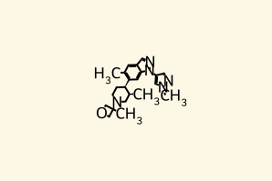 Cc1cc2cnn(-c3cnn(C)c3)c2cc1[C@@H]1CCN(C2(C)COC2)C[C@@H]1C